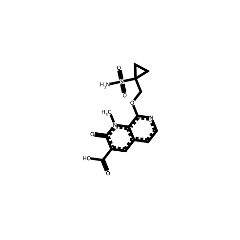 Cn1c(=O)c(C(=O)O)cc2ccnc(OCC3(S(N)(=O)=O)CC3)c21